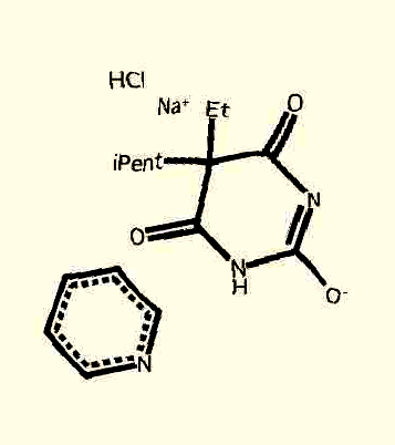 CCCC(C)C1(CC)C(=O)N=C([O-])NC1=O.Cl.[Na+].c1ccncc1